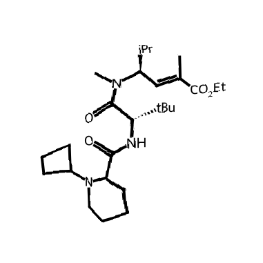 CCOC(=O)/C(C)=C/[C@H](C(C)C)N(C)C(=O)[C@@H](NC(=O)C1CCCCN1C1CCC1)C(C)(C)C